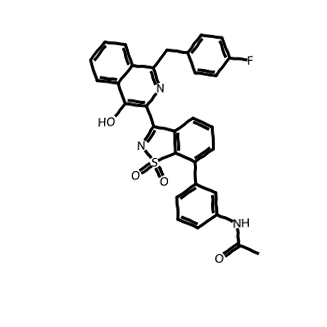 CC(=O)Nc1cccc(-c2cccc3c2S(=O)(=O)N=C3c2nc(Cc3ccc(F)cc3)c3ccccc3c2O)c1